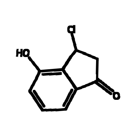 O=C1CC(Cl)c2c(O)cccc21